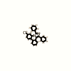 Clc1ccc2c3ccccc3c3c(-c4ccccc4)nc(-c4ccccc4)n3c2c1